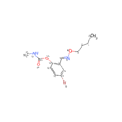 CCCCO/N=C/c1cc(Br)ccc1OC(=O)NC